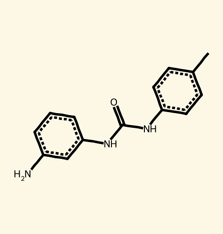 Cc1ccc(NC(=O)Nc2cccc(N)c2)cc1